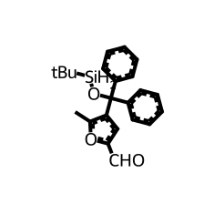 Cc1oc(C=O)cc1C(O[SiH2]C(C)(C)C)(c1ccccc1)c1ccccc1